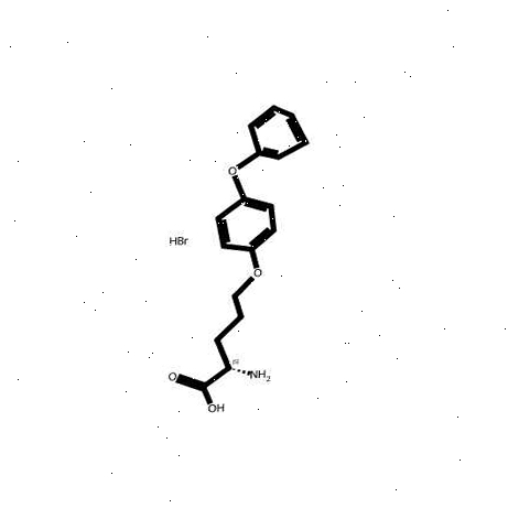 Br.N[C@@H](CCCOc1ccc(Oc2ccccc2)cc1)C(=O)O